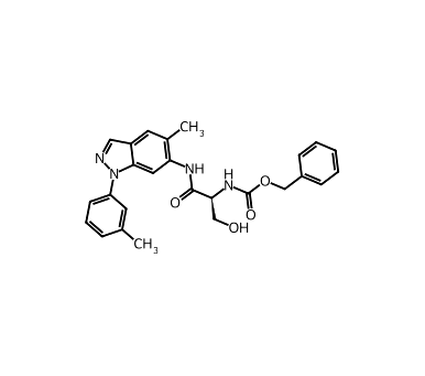 Cc1cccc(-n2ncc3cc(C)c(NC(=O)[C@H](CO)NC(=O)OCc4ccccc4)cc32)c1